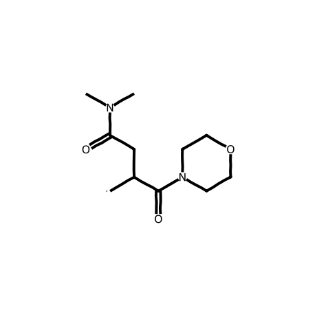 [CH2]C(CC(=O)N(C)C)C(=O)N1CCOCC1